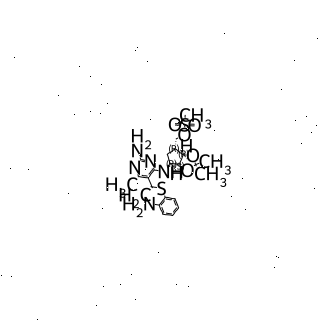 C=C(Sc1ccccc1N)c1c(C)nc(N)nc1N[C@@H]1C[C@H](COS(C)(=O)=O)[C@H]2OC(C)(C)O[C@H]21